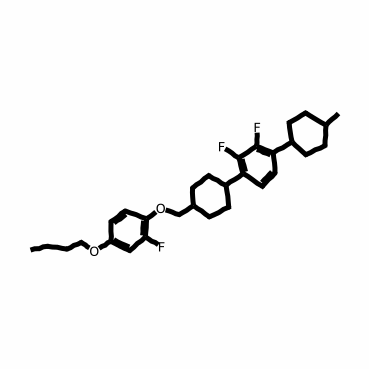 CCCCOc1ccc(OCC2CCC(c3ccc(C4CCC(C)CC4)c(F)c3F)CC2)c(F)c1